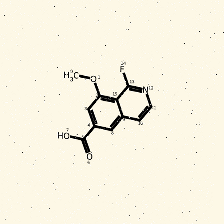 COc1cc(C(=O)O)cc2ccnc(F)c12